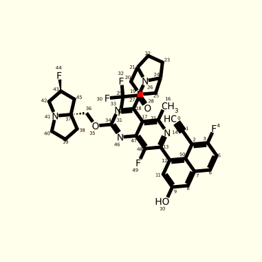 C#Cc1c(F)ccc2cc(O)cc(-c3nc(C)c4c(N5CC6CCC(C5)N6C(=O)C(F)(F)F)nc(OC[C@]56CCCN5C[C@@H](F)C6)nc4c3F)c12